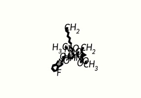 C=CCCCCC[C@H](NC)C(=O)N1C[C@H](OC(=O)N2Cc3cccc(F)c3C2)C[C@H]1C(=O)N[C@]1(C(=O)OC)CC1C=C